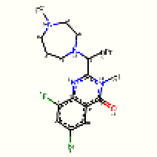 CCCC(c1nc2c(F)cc(Br)cc2c(=O)n1CC)N1CCCN(CC)CC1